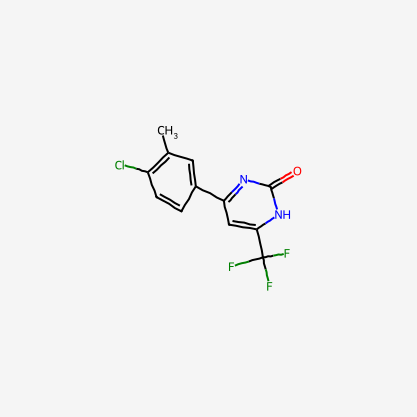 Cc1cc(-c2cc(C(F)(F)F)[nH]c(=O)n2)ccc1Cl